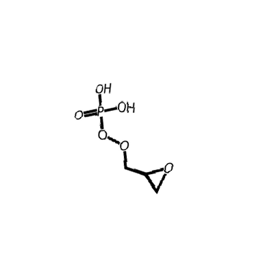 O=P(O)(O)OOCC1CO1